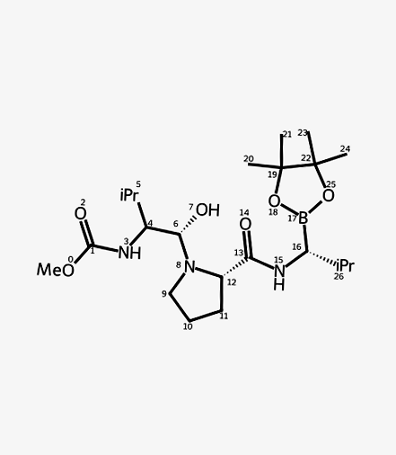 COC(=O)NC(C(C)C)[C@H](O)N1CCC[C@H]1C(=O)N[C@H](B1OC(C)(C)C(C)(C)O1)C(C)C